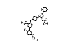 COc1ccc(F)c(-c2ccc(Cc3ccc(N4C[C@@H](c5ccccn5)C[C@@H]4CC(=O)O)cc3)c(C)c2)c1